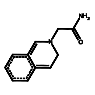 NC(=O)CN1C=c2ccccc2=CC1